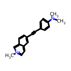 CN(C)c1ccc(C#Cc2ccc3c[n+](C)ccc3c2)cc1